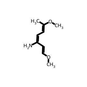 CO/C=C/C(N)=C\C=C(/C)OC